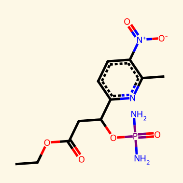 CCOC(=O)CC(OP(N)(N)=O)c1ccc([N+](=O)[O-])c(C)n1